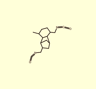 CC1CCC(CN=C=O)C2C3CC(CN=C=O)C(C3)C12